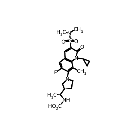 Cc1c(N2CC[C@@H]([C@H](C)NC(=O)O)C2)c(F)cc2cc(S(=O)(=O)N(C)C)c(=O)n(C3CC3)c12